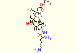 CCOC(=O)CC[C@@H](C)[C@H]1CC[C@H]2[C@@H]3[C@H](O)C[C@@H]4C[C@H](NC(=O)[C@@H](N)CCCCN)CC[C@]4(C)[C@H]3CC[C@]12C